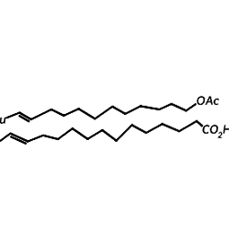 CCCC/C=C/CCCCCCCCCCCC(=O)O.CCCC/C=C/CCCCCCCCCCOC(C)=O